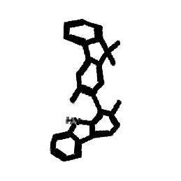 Cc1cc2c(cc1-c1c(C)ccc3c1[nH]c1ccccc13)C(C)(C)c1ccccc1-2